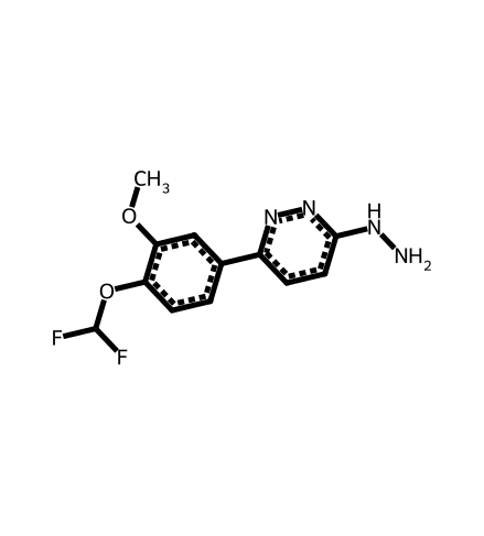 COc1cc(-c2ccc(NN)nn2)ccc1OC(F)F